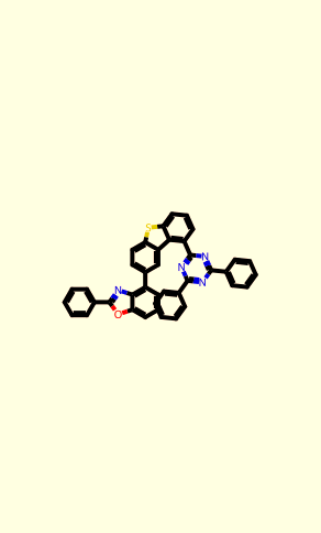 c1ccc(-c2nc(-c3ccccc3)nc(-c3cccc4sc5ccc(-c6cccc7oc(-c8ccccc8)nc67)cc5c34)n2)cc1